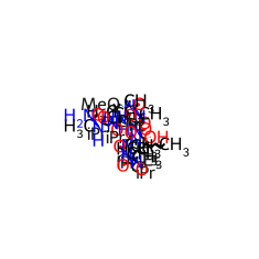 C/C=C/C[C@@H](C)[C@@H](O)[C@@H](C(=O)N[C@@H](CC)C(=O)N(C)CC(=O)N(C)[C@@H](CC(C)(C)OC)C(=O)N[C@H](C(=O)N(C)[C@@H](CC(C)C)C(=O)N[C@H](C)C(N)=O)C(C)C)N(C)C(=O)[C@H](C(C)C)N(C)C(=O)[C@H](CC(C)C)N(C)C(=O)[C@H](CC(C)C)N(C)C(=O)CC